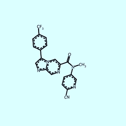 CN(C(=O)c1cn2c(-c3ccc(C(F)(F)F)cc3)cnc2cn1)c1ccc(C#N)nc1